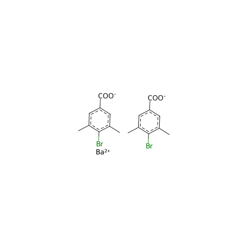 Cc1cc(C(=O)[O-])cc(C)c1Br.Cc1cc(C(=O)[O-])cc(C)c1Br.[Ba+2]